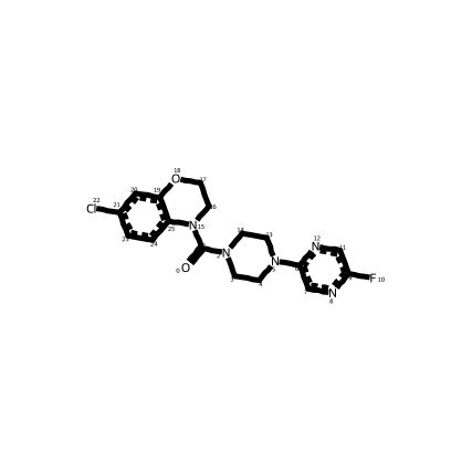 O=C(N1CCN(c2cnc(F)cn2)CC1)N1CCOc2cc(Cl)ccc21